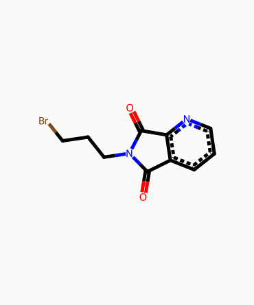 O=C1c2cccnc2C(=O)N1CCCBr